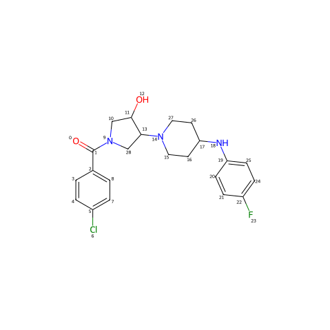 O=C(c1ccc(Cl)cc1)N1CC(O)C(N2CCC(Nc3ccc(F)cc3)CC2)C1